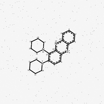 c1ccc2[s+]c3ccc(N4CCCCC4)c(N4CCCCC4)c3nc2c1